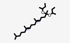 CCC(C)OC(C)(CC/C=C(\C)CC/C=C(\C)CCCC(C)C)OC(C)CC